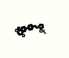 CC1CCCN1CCc1ccc(-c2ccc3c(c2)C(=O)CCS3(=O)=O)cc1